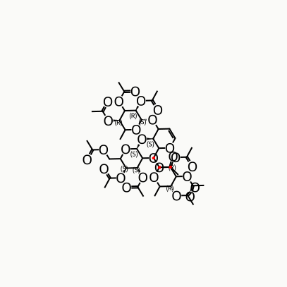 CC(=O)OCC1OC=CC(O[C@@H]2OC(C)[C@@H](OC(C)=O)C(OC(C)=O)[C@H]2OC(C)=O)[C@@H]1O[C@@H]1OC(COC(C)=O)[C@H](OC(C)=O)[C@H](OC(C)=O)C1OC1OC(C)[C@@H](OC(C)=O)C(OC(C)=O)[C@H]1OC(C)=O